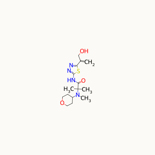 C=C(CO)c1nnc(NC(=O)C(C)(C)N(C)C2CCOCC2)s1